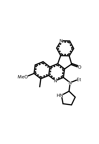 CCN(c1nc2c(C)c(OC)ccc2c2c1C(=O)c1ccncc1-2)C1CCCN1